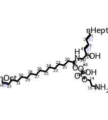 CCCCCCC/C=C/C=C/[C@@H](O)[C@H](COP(=O)(O)OCCN)NC(=O)CCCCCCCCCCCCC/C=C\CCCCCCCC